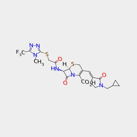 Cn1c(SCC(=O)N[C@@H]2C(=O)N3C(C(=O)O)=C(C=C4CCN(CC5CC5)C4=O)CS[C@H]23)nnc1C(F)(F)F